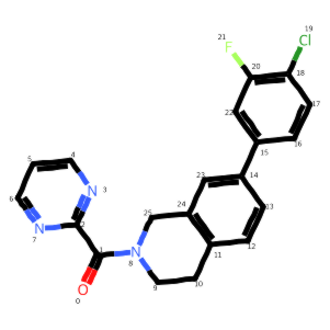 O=C(c1ncccn1)N1CCc2ccc(-c3ccc(Cl)c(F)c3)cc2C1